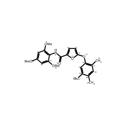 COc1cc(OC)c(NC(=O)c2ccc(Oc3cc(C(C)(C)C)c(C)cc3C)o2)c(OC)c1